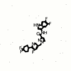 O=C(Nc1c[nH]c2cc(F)c(F)cc12)c1ccn(Cc2cnc(C3CCC(F)(F)CC3)c(F)c2)n1